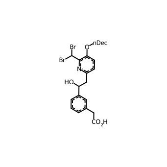 CCCCCCCCCCOc1ccc(CC(O)c2cccc(CC(=O)O)c2)nc1C(Br)Br